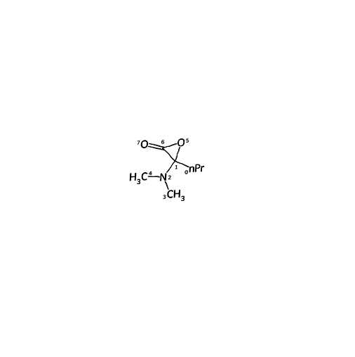 CCCC1(N(C)C)OC1=O